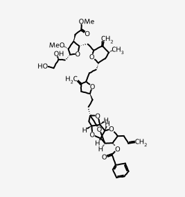 C=CCC1O[C@@H]2[C@H]3O[C@@H]4C[C@@](CC[C@H]5CC(=C)C(CC[C@H]6C[C@@H](C)C(=C)C(C[C@@H]7O[C@H](C[C@H](O)CO)[C@H](OC)[C@H]7CC(=O)OC)O6)O5)(O[C@H]24)O[C@H]3[C@H]1OC(=O)c1ccccc1